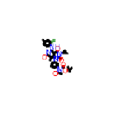 CC(=O)N(C(=O)OC(C)(C)C)c1cccc(-n2c(=O)n(C3CC3)c(=O)c3c(Nc4ccc(C)cc4F)n(C)c(=O)c(C)c32)c1